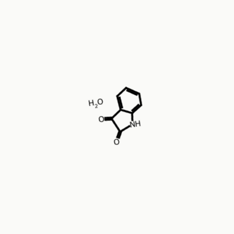 O.O=C1Nc2ccccc2C1=O